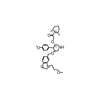 COCCCN1CCOc2ccc(CO[C@H]3CNC[C@@H](OCC(=O)N4C(C)CCC[C@H]4C)C3c3ccc(OC)cc3)cc21